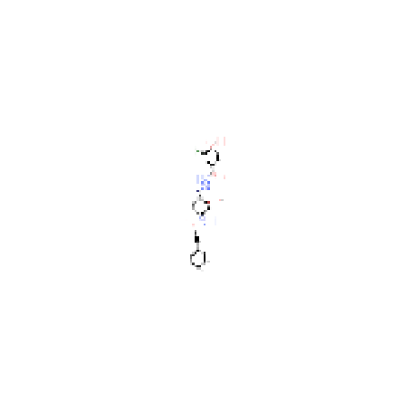 COc1cc(NC(=O)C#Cc2ccccc2)ccc1/C=N/NC(=O)c1ccc(O)c(Cl)c1